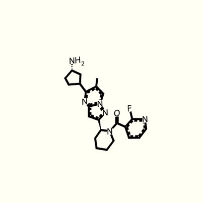 Cc1cn2nc([C@@H]3CCCCN3C(=O)c3cccnc3F)cc2nc1C1CC[C@H](N)C1